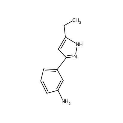 CCc1cc(-c2cccc(N)c2)n[nH]1